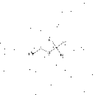 CCCCO[Si](Br)(Br)CC